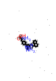 C[C@H](c1cccc2ccccc12)N(C)c1cc(-c2ccc(C[C@H](N)C(=O)O)cc2)nc(N)n1